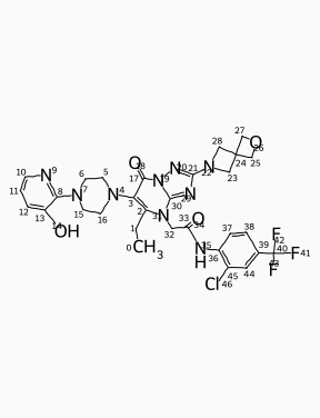 CCc1c(N2CCN(c3ncccc3O)CC2)c(=O)n2nc(N3CC4(COC4)C3)nc2n1CC(=O)Nc1ccc(C(F)(F)F)cc1Cl